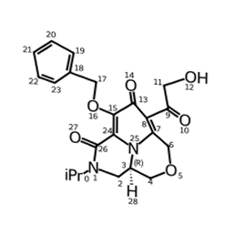 CC(C)N1C[C@@H]2COCc3c(C(=O)CO)c(=O)c(OCc4ccccc4)c(n32)C1=O